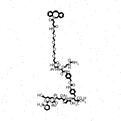 C#CCCCCN(C(=O)[C@@H](NC(=O)[C@H]1CCCCN1C)[C@@H](C)CC)[C@H](C[C@@H](OC(C)=O)c1nc(C(=O)N[C@@H](Cc2ccc(NC(=O)OCc3ccc(NC(=O)[C@@H](NC(=O)[C@@H](NC(=O)CCOCCOCCOCCOCCNC(=O)CCC(=O)N4Cc5ccccc5C#Cc5ccccc54)C(C)C)OCCNC(N)=O)cc3)cc2)CC(C)(C)C(=O)O)cs1)C(C)C